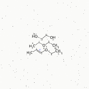 C/C=C/OCC.CCOCC.OCCO